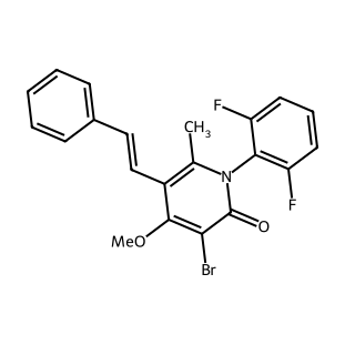 COc1c(C=Cc2ccccc2)c(C)n(-c2c(F)cccc2F)c(=O)c1Br